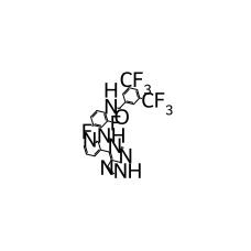 O=C(Nc1ccc(F)c(Nc2ncccc2-c2ncnc3[nH]cnc23)c1F)c1cc(C(F)(F)F)cc(C(F)(F)F)c1